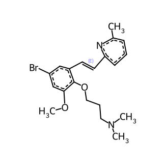 COc1cc(Br)cc(/C=C/c2cccc(C)n2)c1OCCCN(C)C